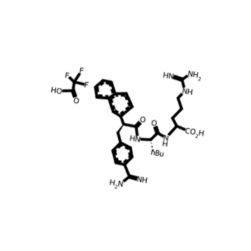 CCCC[C@H](NC(=O)[C@@H](Cc1ccc(C(=N)N)cc1)c1ccc2ccccc2c1)C(=O)NC(CCCNC(=N)N)C(=O)O.O=C(O)C(F)(F)F